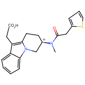 CN(C(=O)Cc1cccs1)[C@@H]1CCc2c(CC(=O)O)c3ccccc3n2C1